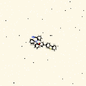 N#Cc1cccc(-c2cccc(-c3ccc4c(c3)sc3ccccc34)c2)c1-n1c2ccccc2c2ccccc21